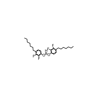 CCCCCCCc1ccc(OBOc2ccc(CCCCCCC)c(F)c2F)c(F)c1F